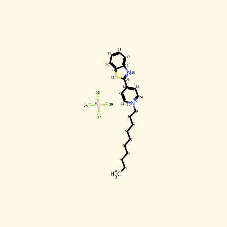 CCCCCCCCCC[n+]1ccc(-c2nc3ccccc3s2)cc1.F[B-](F)(F)F